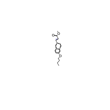 CCCCOc1ccc2cc(/C=C/C(=O)OC)ccc2c1